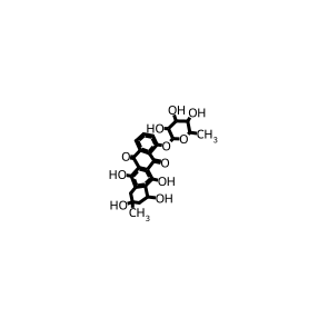 CC1OC(Oc2cccc3c2C(=O)c2c(O)c4c(c(O)c2C3=O)CC(C)(O)CC4O)C(O)C(O)C1O